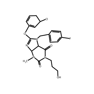 CN1C(=O)N(CCCO)C(=O)C2C1N=C(OC1=CC(Cl)CC=C1)N2Cc1ccc(F)cc1